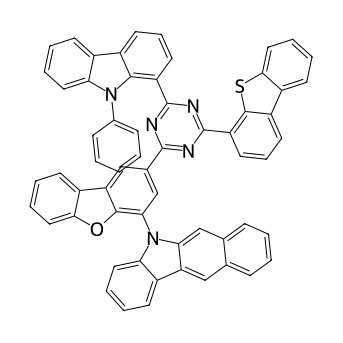 c1ccc(-n2c3ccccc3c3cccc(-c4nc(-c5cc(-n6c7ccccc7c7cc8ccccc8cc76)c6oc7ccccc7c6c5)nc(-c5cccc6c5sc5ccccc56)n4)c32)cc1